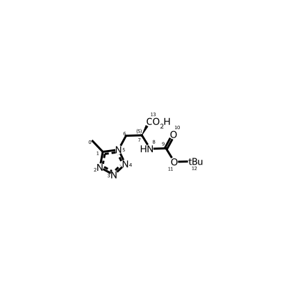 Cc1nnnn1C[C@H](NC(=O)OC(C)(C)C)C(=O)O